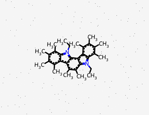 CCn1c2c(C)c(C)c(C)c(C)c2c2c1c(C)c(C)c1c3c(C)c(C)c(C)c(C)c3n(CC)c12